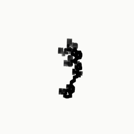 CC(C)N1Cc2c(cccc2C(C(=O)O)N2CCC(C(F)(F)CCCCc3ccc4c(n3)NCCC4)C2)C1=O